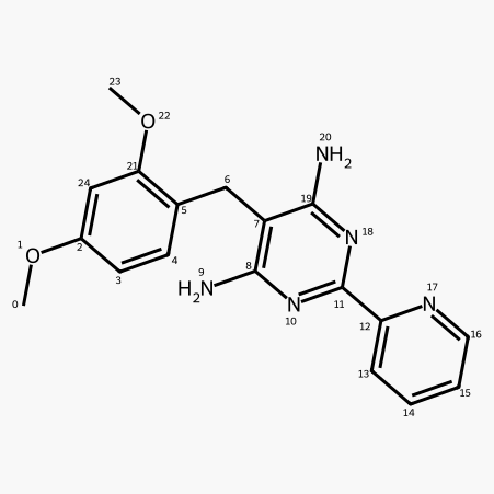 COc1ccc(Cc2c(N)nc(-c3ccccn3)nc2N)c(OC)c1